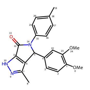 COc1ccc(C2c3c(C)n[nH]c3C(=O)N2c2ccc(C)cc2)cc1OC